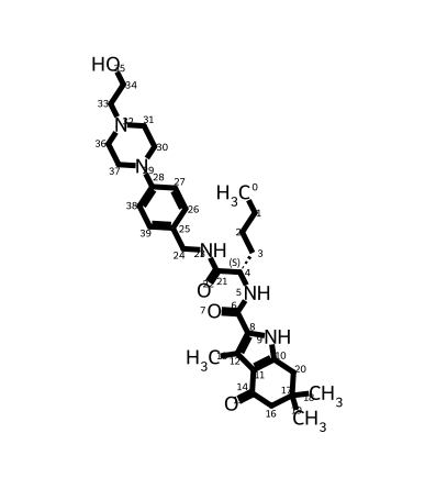 CCCC[C@H](NC(=O)c1[nH]c2c(c1C)C(=O)CC(C)(C)C2)C(=O)NCc1ccc(N2CCN(CCO)CC2)cc1